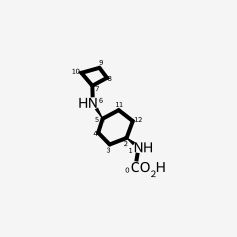 O=C(O)N[C@H]1CC[C@@H](NC2CCC2)CC1